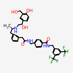 C[C@H](Cc1cccc(CC(=O)NCc2ccc(C(=O)NCc3cc(C(F)(F)F)cc(C(F)(F)F)c3)cc2)c1)NC[C@@H](O)c1ccc(O)c(CO)c1